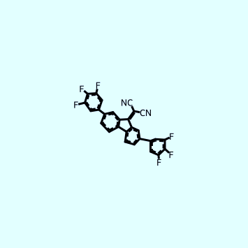 N#CC(C#N)=C1c2cc(-c3cc(F)c(F)c(F)c3)ccc2-c2ccc(-c3cc(F)c(F)c(F)c3)cc21